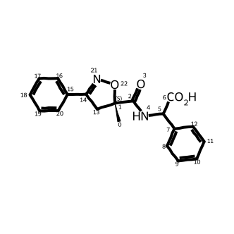 C[C@@]1(C(=O)NC(C(=O)O)c2ccccc2)CC(c2ccccc2)=NO1